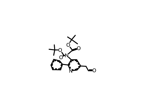 CC(C)(C)OC(=O)N(C(=O)OC(C)(C)C)c1cc(CC=O)cnc1-c1ccccc1